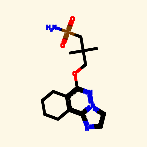 CC(C)(COc1nn2ccnc2c2c1CCCC2)CS(N)(=O)=O